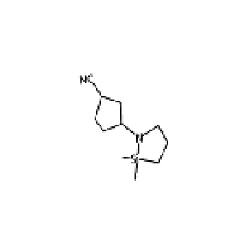 C[Si]1(C)CCCN1C1CCC(C#N)C1